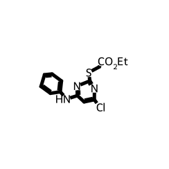 CCOC(=O)CSc1nc(Cl)cc(Nc2ccccc2)n1